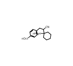 CCCCCCCCc1ccc(CC(C#N)C2(CCCCCCC)CCCCC2)cc1